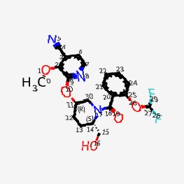 COc1c(C#N)ccnc1O[C@@H]1CC[C@@H](CO)N(C(=O)c2ccccc2OC(F)F)C1